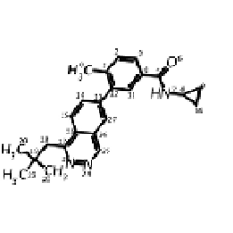 Cc1ccc(C(=O)NC2CC2)cc1-c1ccc2c(CC(C)(C)C)nncc2c1